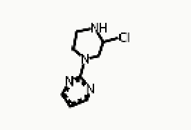 ClC1CN(c2ncccn2)CCN1